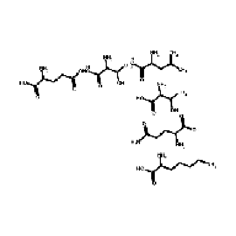 CC(C)CC(N)C(=O)O.CC(O)C(N)C(=O)O.CC(O)C(N)C(=O)O.NC(=O)CCC(N)C(=O)O.NC(CCC(=O)O)C(=O)O.NCCCCC(N)C(=O)O